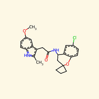 COc1ccc2[nH]c(C)c(CC(=O)NC3CC4(CCC4)Oc4ccc(Cl)cc43)c2c1